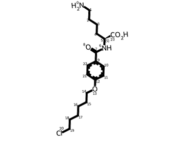 NCCCC[C@H](NC(=O)c1ccc(OCCCCCCCl)cc1)C(=O)O